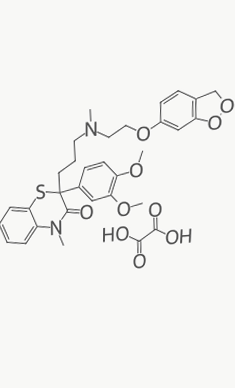 COc1ccc(C2(CCCN(C)CCOc3ccc4c(c3)OOC4)Sc3ccccc3N(C)C2=O)cc1OC.O=C(O)C(=O)O